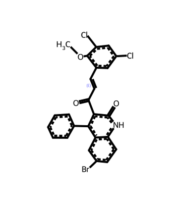 COc1c(Cl)cc(Cl)cc1/C=C/C(=O)c1c(-c2ccccc2)c2cc(Br)ccc2[nH]c1=O